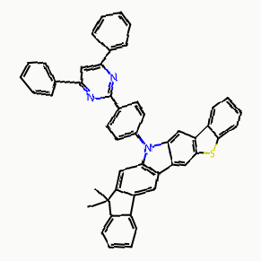 CC1(C)c2ccccc2-c2cc3c4cc5sc6ccccc6c5cc4n(-c4ccc(-c5nc(-c6ccccc6)cc(-c6ccccc6)n5)cc4)c3cc21